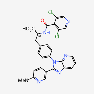 CNc1ccc(-c2nc3cccnc3n2-c2ccc(C[C@H](NC(=O)c3c(Cl)cncc3Cl)C(=O)O)cc2)cn1